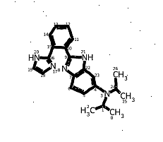 CC(C)N(c1ccc2nc(-c3ccccc3-c3ncc[nH]3)[nH]c2c1)C(C)C